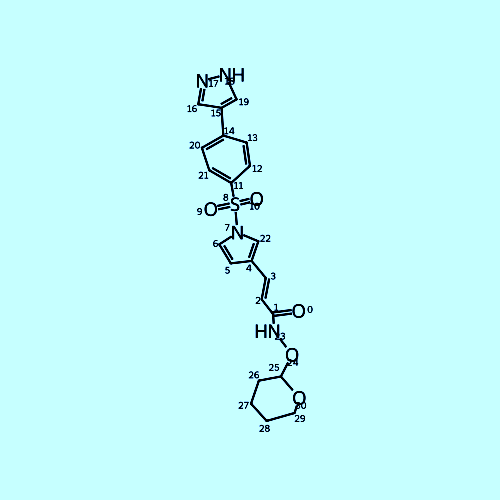 O=C(C=Cc1ccn(S(=O)(=O)c2ccc(-c3cn[nH]c3)cc2)c1)NOC1CCCCO1